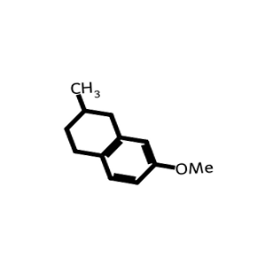 COc1ccc2c(c1)CC(C)CC2